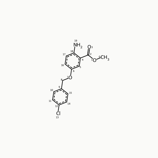 COC(=O)c1cc(OCc2ccc(Cl)cc2)ccc1N